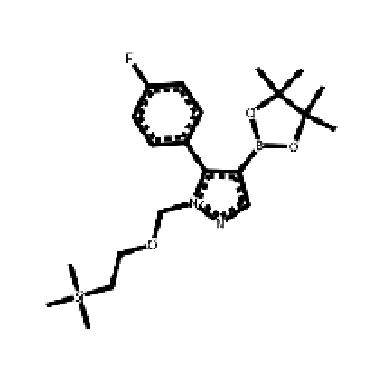 CC1(C)OB(c2cnn(COCC[Si](C)(C)C)c2-c2ccc(F)cc2)OC1(C)C